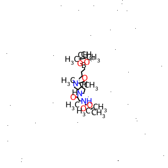 CC(=O)[C@@]1(CCCCB2OC(C)(C)C(C)(C)O2)[C@H]2CCN(C(=O)[C@H](C)NC(=O)OC(C)(C)C)[C@H]2CN1C